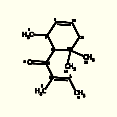 CC=C(C)C(=O)C1C(C)C=CCC1(C)C